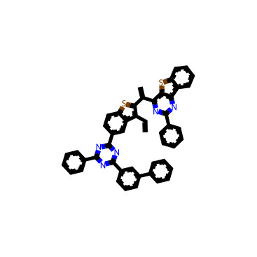 C=Cc1c(C(=C)c2nc(-c3ccccc3)nc3c2sc2ccccc23)sc2ccc(-c3nc(-c4ccccc4)nc(-c4cccc(-c5ccccc5)c4)n3)cc12